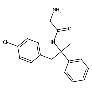 CC(Cc1ccc(Cl)cc1)(NC(=O)CN)c1ccccc1